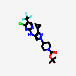 CC(C)(C)OC(=O)N1CCC(n2cc(Nc3ncc(C(F)(F)F)c(Cl)n3)c(C3CC3)n2)CC1